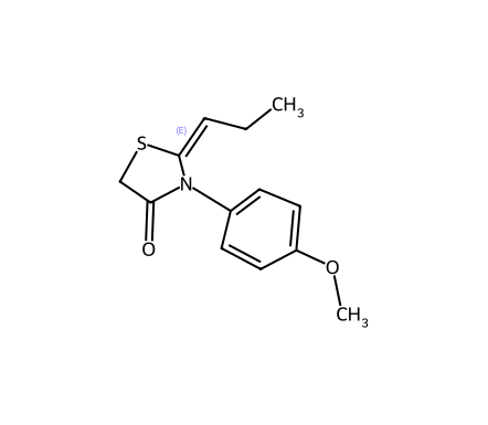 CC/C=C1/SCC(=O)N1c1ccc(OC)cc1